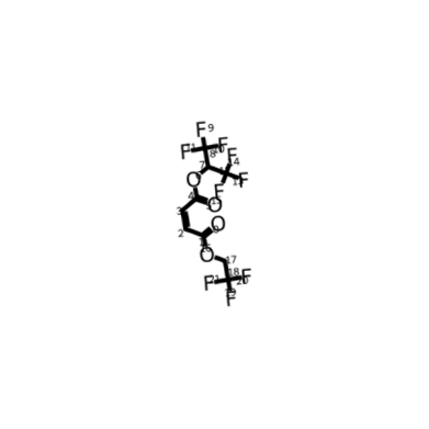 O=C(/C=C\C(=O)OC(C(F)(F)F)C(F)(F)F)OCC(F)(F)F